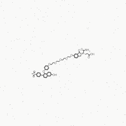 CS(=O)(=O)c1ccc(-c2ccc3cc(O)ccc3c2Oc2ccc(OCCOCCOCCOCCOc3ccc4c(c3)C(=O)N([C@@H](CCC(=O)O)C(N)=O)C4)cc2)cc1